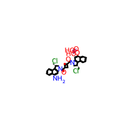 Nc1cc2c(c3ccccc13)[C@H](CCl)CN2C(=O)C12CC(C(=O)N3C[C@@H](CCl)c4c3cc(OP(=O)(O)O)c3ccccc43)(C1)C2